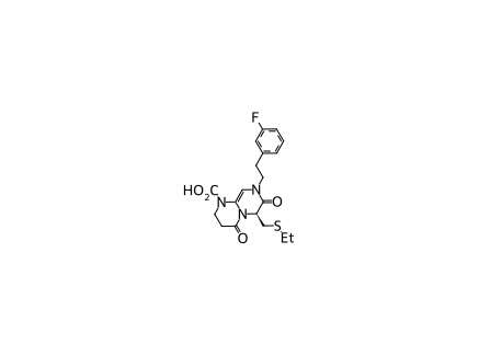 CCSC[C@@H]1C(=O)N(CCc2cccc(F)c2)C=C2N(C(=O)O)CCC(=O)N21